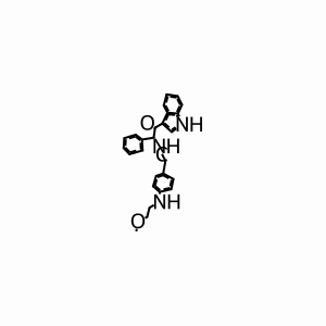 COCCNc1ccc(CCN[C@H](C(=O)c2c[nH]c3ccccc23)c2ccccc2)cc1